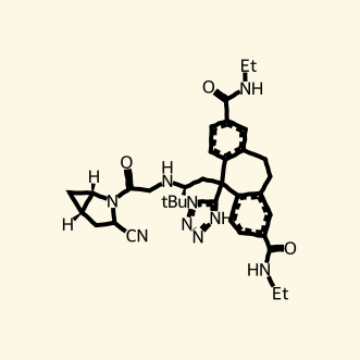 CCNC(=O)c1ccc2c(c1)CCc1cc(C(=O)NCC)ccc1C2(C[C@H](NCC(=O)N1C(C#N)C[C@@H]2C[C@@H]21)C(C)(C)C)c1nnn[nH]1